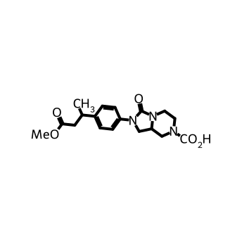 COC(=O)CC(C)c1ccc(N2CC3CN(C(=O)O)CCN3C2=O)cc1